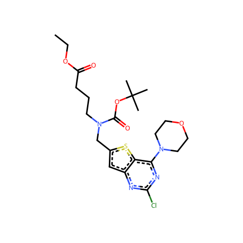 CCOC(=O)CCCN(Cc1cc2nc(Cl)nc(N3CCOCC3)c2s1)C(=O)OC(C)(C)C